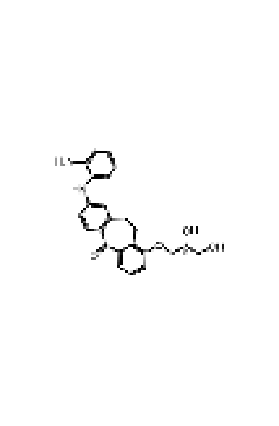 Nc1ccccc1Nc1ccc2c(c1)CCc1c(OC[C@H](O)CO)cccc1C2=O